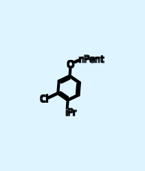 CCCCCOc1ccc(C(C)C)c(Cl)c1